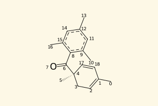 CC1=CC[C@@](C)(C(=O)c2c(C)cc(C)cc2C)C=C1